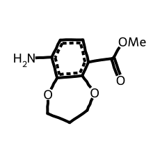 COC(=O)c1ccc(N)c2c1OCCCO2